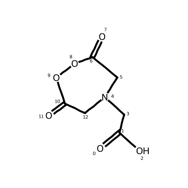 O=C(O)CN1CC(=O)OOC(=O)C1